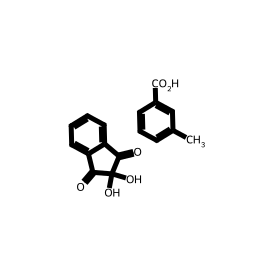 Cc1cccc(C(=O)O)c1.O=C1c2ccccc2C(=O)C1(O)O